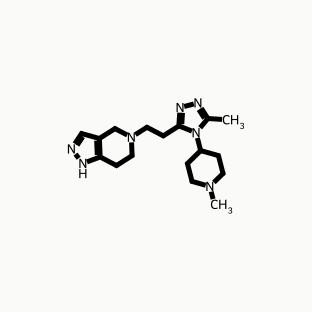 Cc1nnc(CCN2CCc3[nH]ncc3C2)n1C1CCN(C)CC1